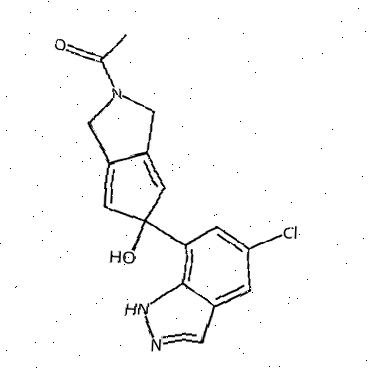 CC(=O)N1CC2=CC(O)(c3cc(Cl)cc4cn[nH]c34)C=C2C1